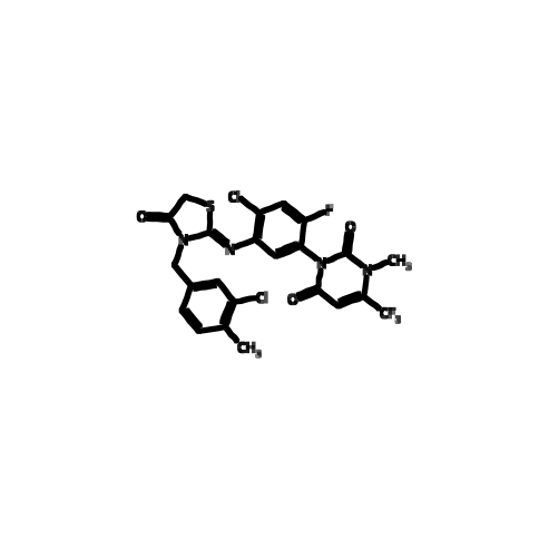 Cc1ccc(CN2C(=O)CSC2=Nc2cc(-n3c(=O)cc(C(F)(F)F)n(C)c3=O)c(F)cc2Cl)cc1Cl